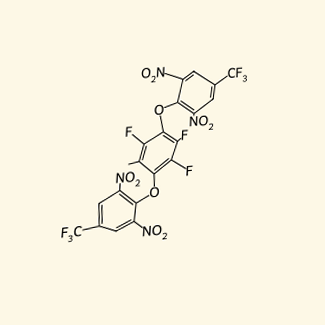 Cc1c(F)c(Oc2c([N+](=O)[O-])cc(C(F)(F)F)cc2[N+](=O)[O-])c(F)c(F)c1Oc1c([N+](=O)[O-])cc(C(F)(F)F)cc1[N+](=O)[O-]